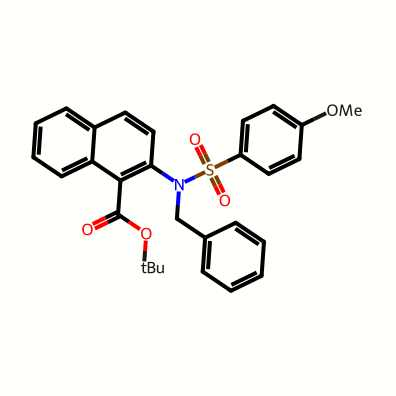 COc1ccc(S(=O)(=O)N(Cc2ccccc2)c2ccc3ccccc3c2C(=O)OC(C)(C)C)cc1